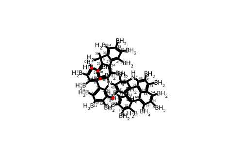 Bc1c(B)c(B)c(-c2c(B)c(B)c(B)c(B)c2N(c2c(B)c(B)c3c(c2B)-c2c(B)c(B)c(B)c(B)c2C3(C)C)c2c(B)c(B)c3c([nH]c4c(B)c(B)c5c(B)c(B)c(B)c(-c6c(B)c(B)c(B)c(B)c6B)c5c43)c2B)c(B)c1B